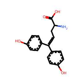 NC(CC=C(c1ccc(O)cc1)c1ccc(O)cc1)C(=O)O